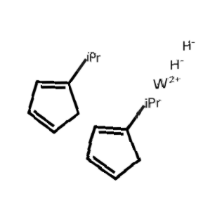 CC(C)C1=CC=CC1.CC(C)C1=CC=CC1.[H-].[H-].[W+2]